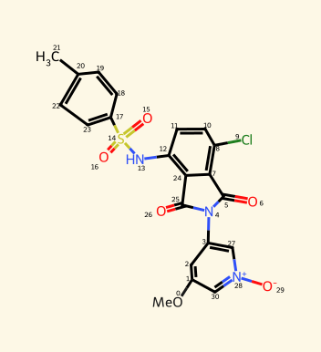 COc1cc(N2C(=O)c3c(Cl)ccc(NS(=O)(=O)c4ccc(C)cc4)c3C2=O)c[n+]([O-])c1